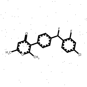 Cc1cc(=O)c(-c2ccc(C(F)c3ccc(Cl)cc3F)cc2)c(C)o1